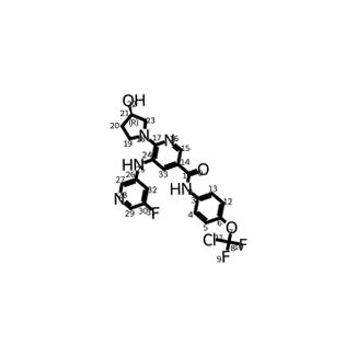 O=C(Nc1ccc(OC(F)(F)Cl)cc1)c1cnc(N2CC[C@@H](O)C2)c(Nc2cncc(F)c2)c1